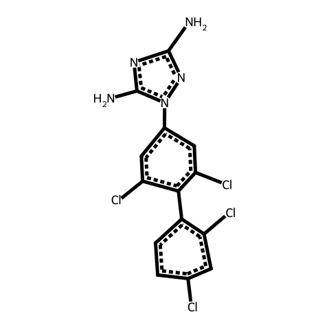 Nc1nc(N)n(-c2cc(Cl)c(-c3ccc(Cl)cc3Cl)c(Cl)c2)n1